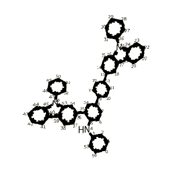 c1ccc(Nc2ccc(-c3ccc(-c4ccc5c(c4)c4ccccc4n5-c4ccccc4)cc3)cc2-c2ccc3c4ccccc4n(-c4ccccc4)c3c2)cc1